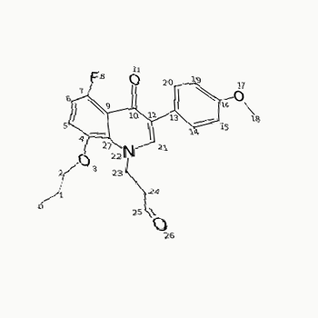 CCCOc1ccc(F)c2c(=O)c(-c3ccc(OC)cc3)cn(CCC=O)c12